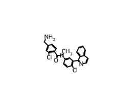 CN(C(=O)c1ccc(CN)cc1Cl)c1ccc(Cl)c(-c2nccc3ccccc23)c1